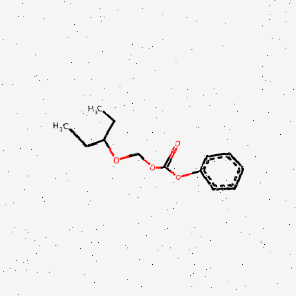 CCC(CC)OCOC(=O)Oc1ccccc1